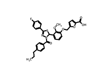 CCCc1ccc(C(=O)N2N=C(c3ccc(F)cc3)SC2c2cccc(OCc3ccc(C(=O)O)o3)c2OC)cc1